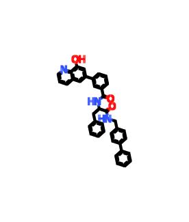 O=C(NC(Cc1ccccc1)C(=O)NCc1ccc(-c2ccccc2)cc1)c1cccc(-c2cc(O)c3ncccc3c2)c1